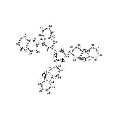 c1ccc2cc(-c3cc(-c4nc(-c5ccc6c(c5)oc5ccccc56)nc(-c5ccc6c(c5)oc5ccccc56)n4)cc4ccccc34)ccc2c1